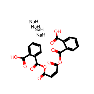 O=C(/C=C\C(=O)OC(=O)c1ccccc1C(=O)O)OC(=O)c1ccccc1C(=O)O.[NaH].[NaH].[NaH].[NaH]